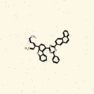 C=C/C(=C\C=C/C)c1ccc(-c2nc(-c3ccccc3)nc(-c3ccc4c(ccc5ccccc54)c3)n2)c2c1oc1ccccc12